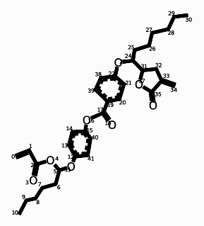 C=CC(=O)OC(CCCCC)Oc1ccc(OC(=O)c2ccc(OC(CCCCCC)C3CC(=C)C(=O)O3)cc2)cc1